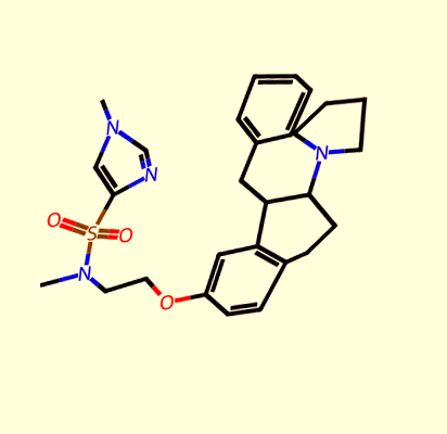 CN(CCOc1ccc2c(c1)C(Cc1ccccc1)C(N1CCCC1)CC2)S(=O)(=O)c1cn(C)cn1